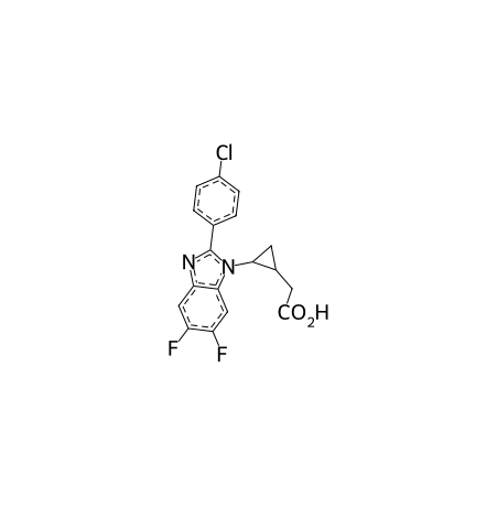 O=C(O)CC1CC1n1c(-c2ccc(Cl)cc2)nc2cc(F)c(F)cc21